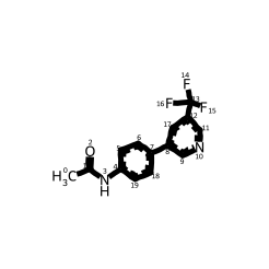 CC(=O)Nc1ccc(-c2cncc(C(F)(F)F)c2)cc1